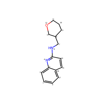 c1ccc2nc(NCC3CCCOC3)ccc2c1